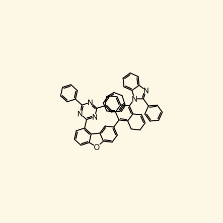 C1#CCC=CC(c2nc(-c3ccccc3)nc(-c3cccc4oc5ccc(-c6c7c(c(-n8c(-c9ccccc9)nc9ccccc98)c8ccccc68)C=CCC7)cc5c34)n2)=C1